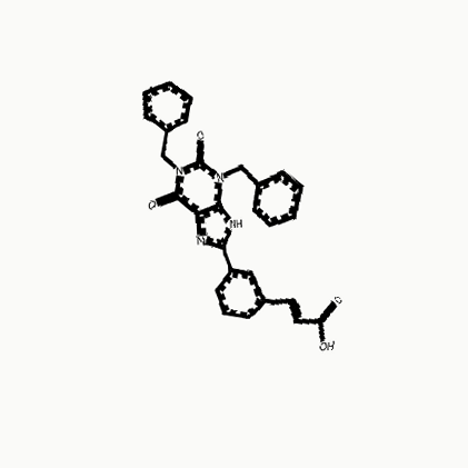 O=C(O)C=Cc1cccc(-c2nc3c(=O)n(Cc4ccccc4)c(=O)n(Cc4ccccc4)c3[nH]2)c1